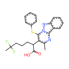 Cc1nc2c3ccccc3nn2c(Sc2ccccc2)c1C(CCCC(C)(F)F)C(=O)O